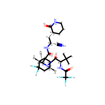 CC(C)(C)[C@@H](NC(=O)C(F)(F)F)C(=O)N1[C@@H]2CC[C@H]([C@H]1C(=O)N[C@@H](C#N)C[C@H]1CCCNC1=O)C(F)(F)C2